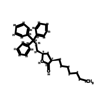 CCCCCCC[C@@H]1C[C@H](CSC(c2ccccc2)(c2ccccc2)c2ccccc2)OC1=O